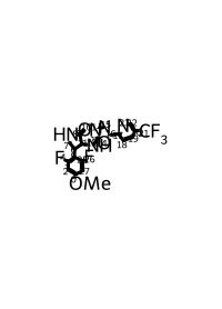 COc1cc(F)c(C2CNC(=O)C2Nc2nnc(-c3ccc(C(F)(F)F)cn3)o2)c(F)c1